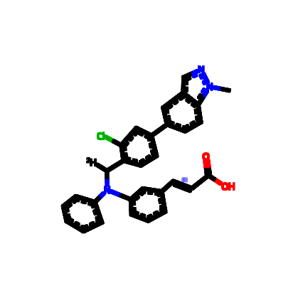 [2H]C(c1ccc(-c2ccc3c(cnn3C)c2)cc1Cl)N(c1ccccc1)c1cccc(/C=C/C(=O)O)c1